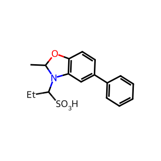 CCC(N1c2cc(-c3ccccc3)ccc2OC1C)S(=O)(=O)O